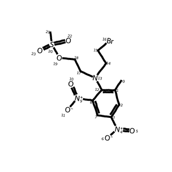 Cc1cc([N+](=O)[O-])cc([N+](=O)[O-])c1N(CCBr)CCOS(C)(=O)=O